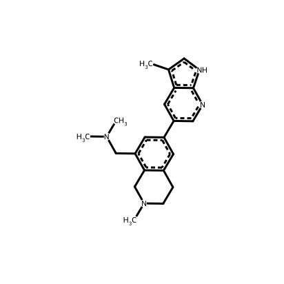 Cc1c[nH]c2ncc(-c3cc4c(c(CN(C)C)c3)CN(C)CC4)cc12